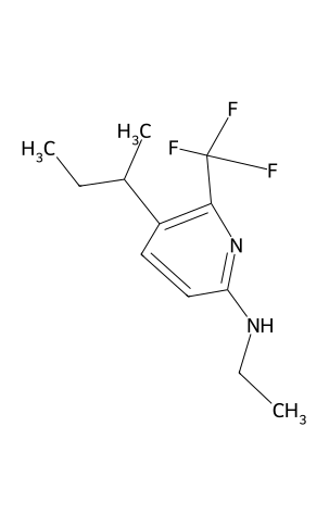 CCNc1ccc(C(C)CC)c(C(F)(F)F)n1